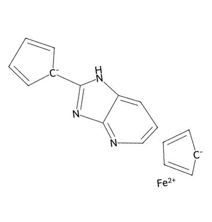 [Fe+2].c1cc[cH-]c1.c1cnc2nc(-[c-]3cccc3)[nH]c2c1